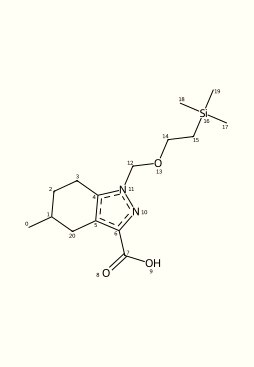 CC1CCc2c(c(C(=O)O)nn2COCC[Si](C)(C)C)C1